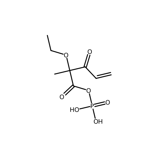 C=CC(=O)C(C)(OCC)C(=O)OP(=O)(O)O